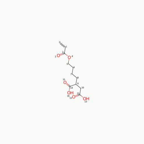 C=CC(=O)OCCCCC(CC(=O)O)C(=O)O